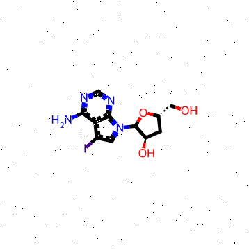 Nc1ncnc2c1c(I)cn2C1O[C@H](CO)C[C@H]1O